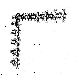 CC[N+](CC)(CC)CC.CC[N+](CC)(CC)CC.CC[N+](CC)(CC)CC.CC[N+](CC)(CC)CC.CC[N+](CC)(CC)CC.CC[N+](CC)(CC)CC.CC[N+](CC)(CC)CC.CC[N+](CC)(CC)CC.[O-]B([O-])F.[O-]B([O-])F.[O-]B([O-])F.[O-]B([O-])F